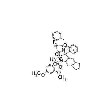 CNC(=O)[C@@H]1C[C@@H](F)C[N+]1(C)C1(c2ccccc2OCc2ccccc2)C(=O)N(S(=O)(=O)c2ccc(OC)cc2OC)c2cc3c(cc21)CCC3